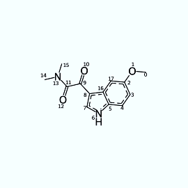 COc1ccc2[nH]cc(C(=O)C(=O)N(C)C)c2c1